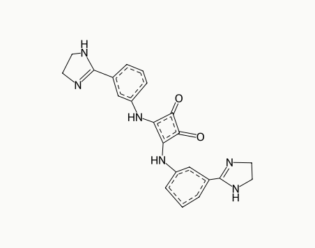 O=c1c(Nc2cccc(C3=NCCN3)c2)c(Nc2cccc(C3=NCCN3)c2)c1=O